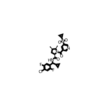 C[C@@H]1C[C@H](C(=O)NC(c2cc(F)c(Cl)cc2F)C2CC2)N(C(=O)c2cncc(S(=O)(=O)C3CC3)c2)[C@@H]1C